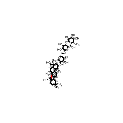 C[C@@H]1O[C@H](O[C@H]2[C@H](O)[C@@H](O)[C@H](OC[C@H]3O[C@@H](O[C@H]4CCC5(C)C6C=CC78OCC9(CCC(C)(C)CC97)[C@@H](O)CC8(C)C6(C)CCC5[C@]4(C)CO)C(O)[C@@H](O)[C@@H]3O)O[C@@H]2CO)[C@H](O)[C@H](O)[C@H]1O